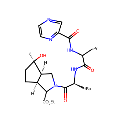 CCOC(=O)C1[C@H]2CC[C@@](C)(O)[C@H]2CN1C(=O)[C@@H](NC(=O)C(NC(=O)c1cnccn1)C(C)C)C(C)(C)C